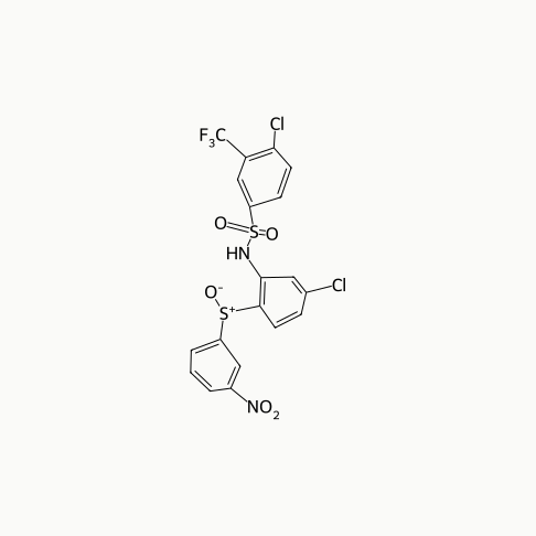 O=[N+]([O-])c1cccc([S+]([O-])c2ccc(Cl)cc2NS(=O)(=O)c2ccc(Cl)c(C(F)(F)F)c2)c1